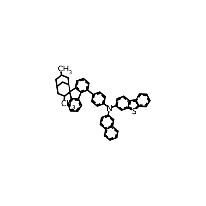 CC1CC2CC(C)C3(c4ccccc4-c4c(-c5ccc(N(c6ccc7ccccc7c6)c6ccc7c(c6)sc6ccccc67)cc5)cccc43)C(C1)C2